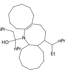 CCCC(CC)C1CC/C2=C(/CCCCCCC2)N(C(O)(CCC)CC(C)C)C2CCCCCCCC12